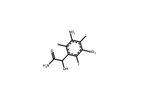 NC(=O)C(O)c1c(I)c([N+](=O)[O-])c(I)c([N+](=O)[O-])c1I